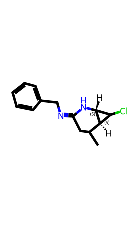 CC1CC(=NCc2ccccc2)N[C@@H]2C(Cl)[C@@H]12